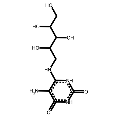 Nc1c(NCC(O)C(O)C(O)CO)[nH]c(=O)[nH]c1=O